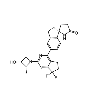 C[C@H]1[C@H](O)CN1c1nc(-c2ccc3c(c2)CC[C@@]32CCC(=O)N2)c2c(n1)C(F)(F)CC2